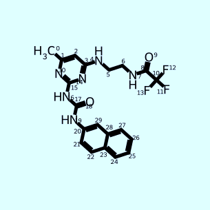 Cc1cc(NCCNC(=O)C(F)(F)F)nc(NC(=O)Nc2ccc3ccccc3c2)n1